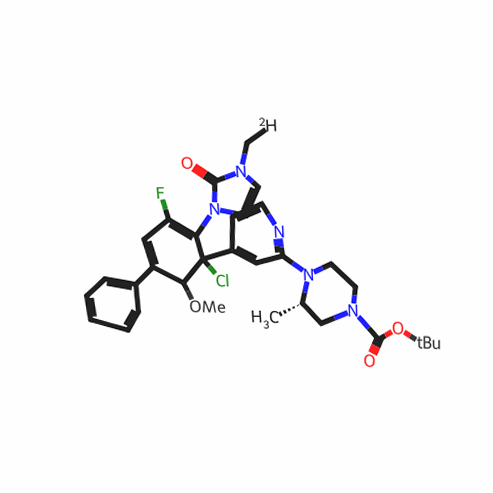 [2H]Cn1ccn(C2=C(F)C=C(c3ccccc3)C(OC)C2(Cl)c2ccnc(N3CCN(C(=O)OC(C)(C)C)C[C@@H]3C)c2)c1=O